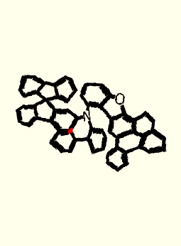 c1ccc(-c2ccccc2-c2cc3c(oc4cccc(N(c5ccc6c(c5)C5(c7ccccc7-c7ccccc75)c5ccccc5-6)c5ccccc5-c5ccccc5)c43)c3ccccc23)cc1